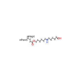 CCCCCCCC(CCCCC)CCC(=O)OCCCCCCNCCCCCO